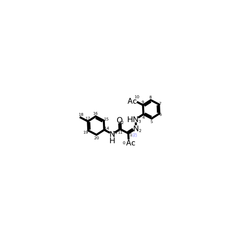 CC(=O)/C(=N/Nc1ccccc1C(C)=O)C(=O)NC1C=CC(C)=CC1